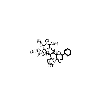 CC(=O)NC1[C@H](OC(C)C)OC2OCC(c3ccccc3)O[C@@H]2[C@@H]1O[C@@H]1OC(OC=O)[C@@H](OC(C)C)[C@H](O)C1O